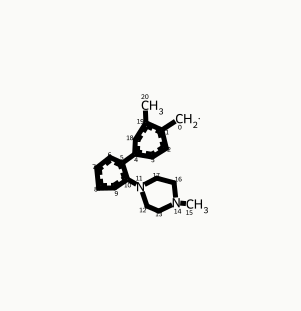 [CH2]c1ccc(-c2ccccc2N2CCN(C)CC2)cc1C